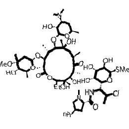 CCC[C@@H]1C[C@@H](C(=O)NC(C(C)Cl)[C@H]2O[C@H](SC)[C@H](O)[C@@H](O)[C@H]2O)N(C)C1.CC[C@H]1OC(=O)[C@H](C)[C@@H](O[C@H]2C[C@@](C)(OC)[C@@H](O)[C@H](C)O2)[C@H](C)[C@@H](O[C@@H]2O[C@H](C)C[C@H](N(C)C)[C@H]2O)[C@](C)(O)C[C@@H](C)C(=O)[C@H](C)[C@@H](O)[C@]1(C)O